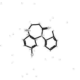 Cc1ccccc1N1C(=O)CCNc2ccc(Cl)cc21